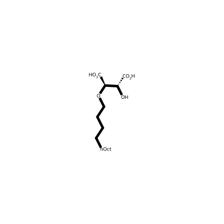 CCCCCCCCCCCCO[C@@H](C(=O)O)[C@@H](O)C(=O)O